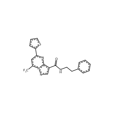 O=C(NCCc1ccccc1)c1cnn2c(C(F)(F)F)cc(-c3cccs3)nc12